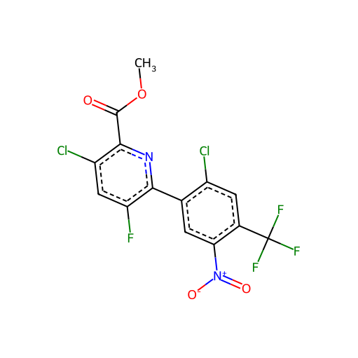 COC(=O)c1nc(-c2cc([N+](=O)[O-])c(C(F)(F)F)cc2Cl)c(F)cc1Cl